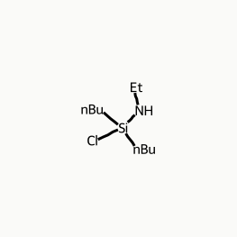 CCCC[Si](Cl)(CCCC)NCC